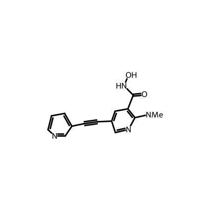 CNc1ncc(C#Cc2cccnc2)cc1C(=O)NO